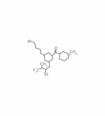 CCC(CC1CC(CCCCC(C)C)CC(C(=O)C2CCC[C@@H](C)C2)C1)C(C)C(F)(F)F